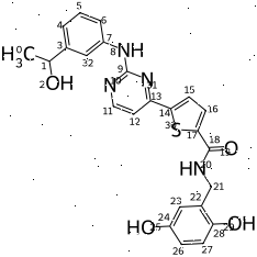 CC(O)c1cccc(Nc2nccc(-c3ccc(C(=O)NCc4cc(O)ccc4O)s3)n2)c1